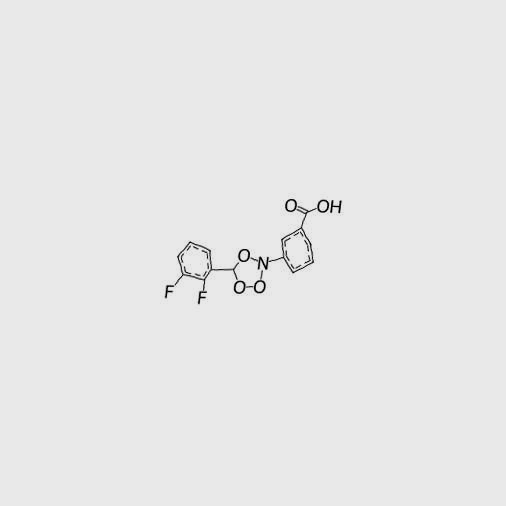 O=C(O)c1cccc(N2OOC(c3cccc(F)c3F)O2)c1